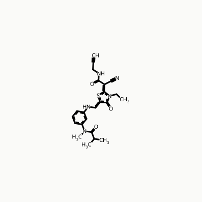 C#CCNC(=O)C(C#N)=c1sc(=CNc2cccc(N(C)C(=O)C(C)C)c2)c(=O)n1CC